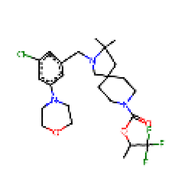 CC(OC(=O)N1CCC2(CC1)CN(Cc1cc(Cl)cc(N3CCOCC3)c1)C(C)(C)C2)C(F)(F)F